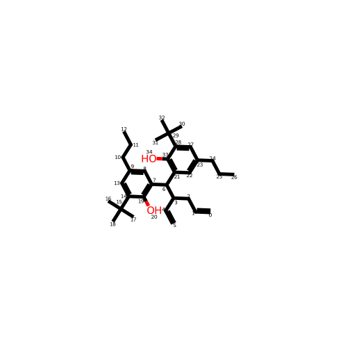 C=CCC(C=C)C(c1cc(CCC)cc(C(C)(C)C)c1O)c1cc(CCC)cc(C(C)(C)C)c1O